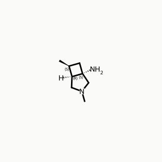 C[C@H]1C[C@@]2(N)CN(C)C[C@@H]12